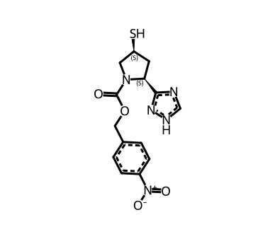 O=C(OCc1ccc([N+](=O)[O-])cc1)N1C[C@@H](S)C[C@H]1c1nc[nH]n1